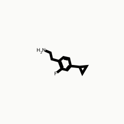 NCCc1ccc(C2CC2)cc1F